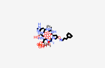 CC(C)C[C@H](NC(=O)[C@@H]1C[C@H](O/N=C\CCc2ccccc2)CN1C(=O)CCOC(C)C)C(=O)N[C@@H](Cc1cnc[nH]1)C(=O)N[C@@H](CO)C(=O)N[C@H](C(N)=O)C(C)OP(=O)(O)O